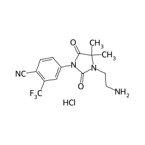 CC1(C)C(=O)N(c2ccc(C#N)c(C(F)(F)F)c2)C(=O)N1CCN.Cl